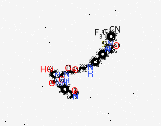 Cc1ncoc1-c1ccc(CNC(=O)[C@@H]2C[C@@H](O)CN2C(=O)CNC(=O)COCCCCNc2ccc(-c3ccc(N4C(=S)N(c5ccc(C#N)c(C(F)(F)F)c5)C(=O)C4(C)C)cc3)cc2)cc1